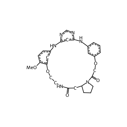 COc1ccc2cc1OCCNC(=O)CC1CCCN1C(=O)COc1cccc(c1)Nc1cc(ncn1)N2